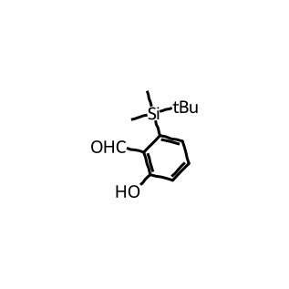 CC(C)(C)[Si](C)(C)c1cccc(O)c1C=O